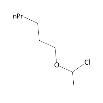 CCCCCCOC(C)Cl